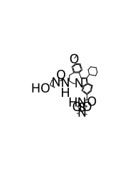 COc1ccc2c(c1)CC(NC(=O)N1CC(O)C1)Cn1c-2c(C2CCCCC2)c2ccc(C(=O)NS(=O)(=O)N(C)C)cc21